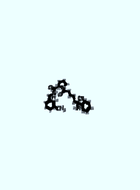 Cc1cccc(CNC(=O)[C@H]2CCCN2C(=O)CCCC[C@@](C#N)(c2ccccc2)C(C)C)c1